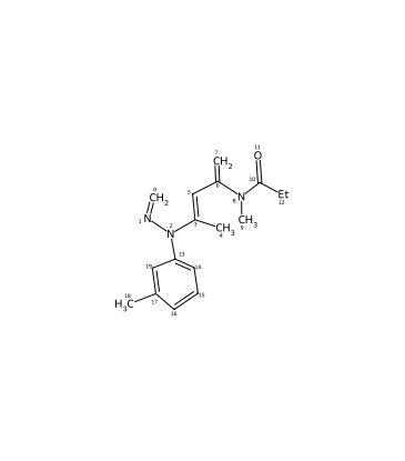 C=NN(/C(C)=C/C(=C)N(C)C(=O)CC)c1cccc(C)c1